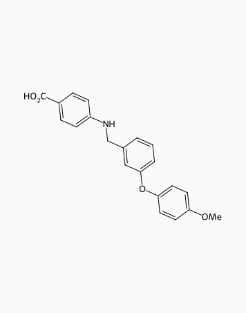 COc1ccc(Oc2cccc(CNc3ccc(C(=O)O)cc3)c2)cc1